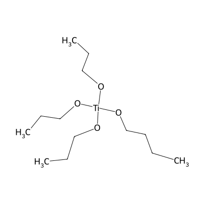 CCCC[O][Ti]([O]CCC)([O]CCC)[O]CCC